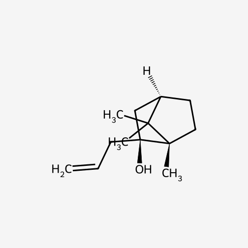 C=CC[C@]1(O)C[C@H]2CC[C@@]1(C)C2(C)C